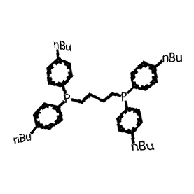 CCCCc1ccc(P(CCCCP(c2ccc(CCCC)cc2)c2ccc(CCCC)cc2)c2ccc(CCCC)cc2)cc1